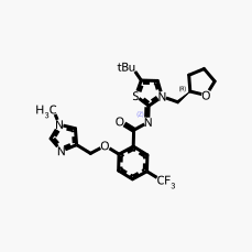 Cn1cnc(COc2ccc(C(F)(F)F)cc2C(=O)/N=c2\sc(C(C)(C)C)cn2C[C@H]2CCCO2)c1